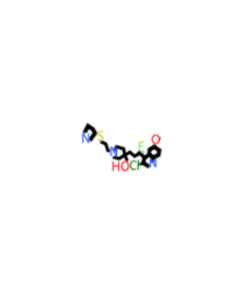 COc1ccc2ncc(Cl)c([C@@H](F)CCC3(CO)CCN(CCCSc4cccnc4)CC3)c2c1